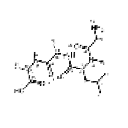 CC(C)C[C@@H](C(=O)N[C@@H](C)C(=O)N[C@@H](C)C(=O)O)N(C)C(=O)CN